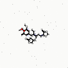 C=C(/C=C(\C=C(/COC)OC)[C@H](/C(CC)=C(\C)C/C=C1/OCOC1=C)C1C(=O)OCC1C)OC